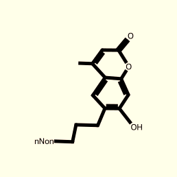 CCCCCCCCCCCCc1cc2c(C)cc(=O)oc2cc1O